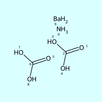 N.O=C(O)O.O=C(O)O.[BaH2]